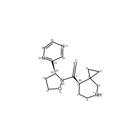 O=C([C@@H]1CCNCC12CC2)N1OCC[C@H]1c1cnccn1